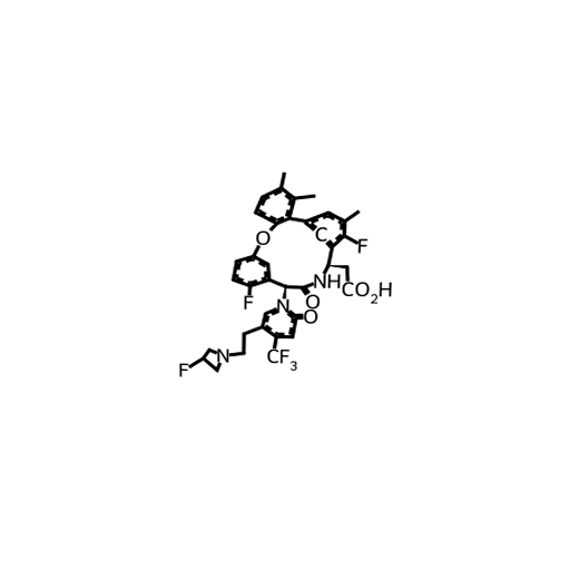 Cc1ccc2c(c1C)-c1cc(C)c(F)c(c1)[C@@H](CC(=O)O)NC(=O)[C@@H](n1cc(CCN3CC(F)C3)c(C(F)(F)F)cc1=O)c1cc(ccc1F)O2